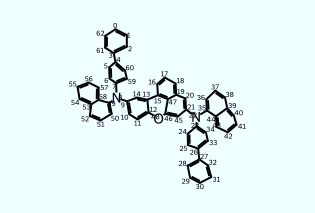 c1ccc(-c2ccc(N(c3ccc4c(c3)-c3cccc5cc(N(c6ccc(-c7ccccc7)cc6)c6cccc7ccccc67)cc(c35)O4)c3cccc4ccccc34)cc2)cc1